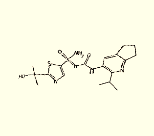 CC(C)c1nc2c(cc1NC(=O)N=S(N)(=O)c1cnc(C(C)(C)O)s1)CCC2